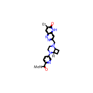 CCc1cc2nnc(CN3CCN(c4ccc(C(=O)NC)nc4)[C@@H]4CCC43)cc2[nH]c1=O